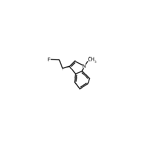 Cn1cc([CH]CF)c2ccccc21